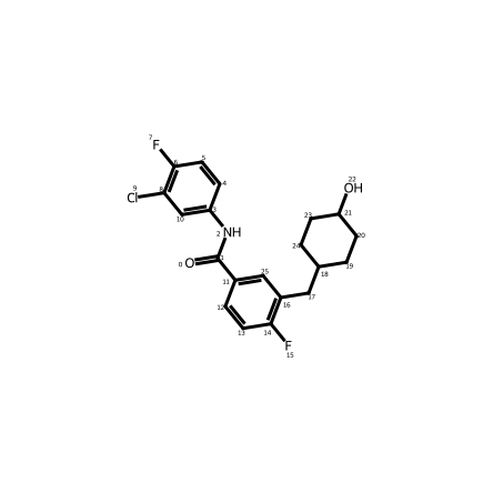 O=C(Nc1ccc(F)c(Cl)c1)c1ccc(F)c(CC2CCC(O)CC2)c1